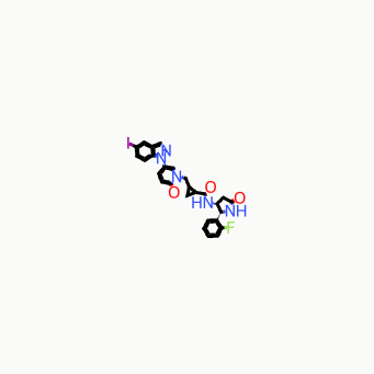 O=C1C[C@H](NC(=O)C2CC2Cn2cc(-n3ncc4cc(I)ccc43)ccc2=O)[C@@H](c2ccccc2F)N1